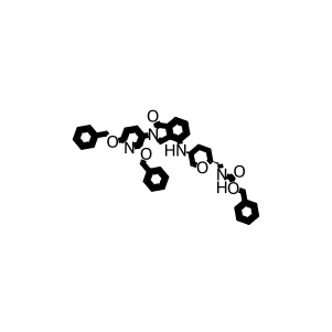 O=C(NC[C@H]1CC[C@@H](Nc2cccc3c2CN(c2ccc(OCc4ccccc4)nc2OCc2ccccc2)C3=O)CO1)OCc1ccccc1